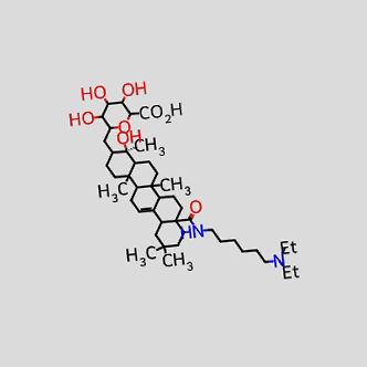 CCN(CC)CCCCCCNC(=O)C12CCC3C(=CCC4C3(C)CCC3C4(C)CCC(CC4OC(C(=O)O)C(O)C(O)C4O)[C@@]3(C)O)C1CC(C)(C)CC2